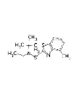 CCN(Sc1nc2c(C)cccc2s1)C(C)(C)C